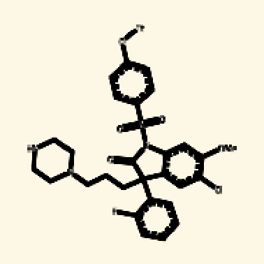 CCOc1ccc(S(=O)(=O)N2C(=O)C(CCCN3CCNCC3)(c3ccccc3F)c3cc(Cl)c(OC)cc32)cc1